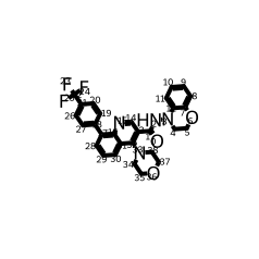 O=C(NN1CCOc2ccccc21)c1cnc2c(-c3ccc(C(F)(F)F)cc3)cccc2c1N1CCOCC1